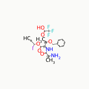 C#CC(I)OC(=O)[C@@H](NC(=O)[C@H](C)N)[C@@H](C)OCc1ccccc1.O=C(O)C(F)(F)F